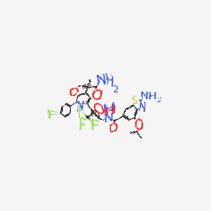 CC(C)Oc1cc(C(=O)NC[C@](O)(c2cc3c(c(-c4ccc(F)cc4)n2)OC[C@]3(C)C(N)=O)C(F)(F)F)cc2sc(N)nc12